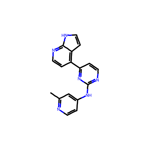 Cc1cc(Nc2nccc(-c3ccnc4[nH]ccc34)n2)ccn1